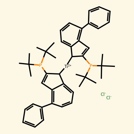 CC(C)(C)P(C1=Cc2c(-c3ccccc3)cccc2[CH]1[Ti+2][CH]1C(P(C(C)(C)C)C(C)(C)C)=Cc2c(-c3ccccc3)cccc21)C(C)(C)C.[Cl-].[Cl-]